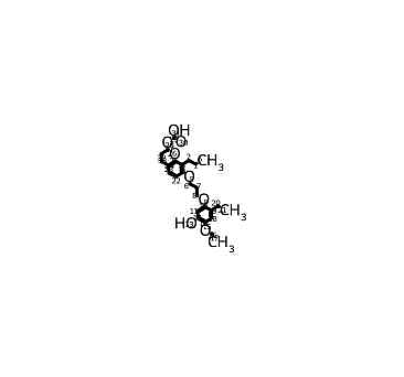 CCCc1c(OCCCOc2cc(O)c(OCC)cc2CC)ccc2c1OC(OC(=O)O)CC2